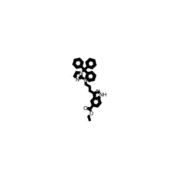 CCOC(=O)c1ccc2[nH]nc(CCCNc3nccn3C(c3ccccc3)(c3ccccc3)c3ccccc3)c2c1